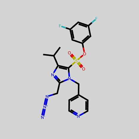 CC(C)c1nc(CN=[N+]=[N-])n(Cc2ccncc2)c1S(=O)(=O)Oc1cc(F)cc(F)c1